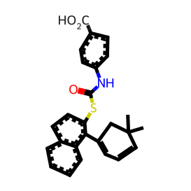 CC1(C)C=CC=C(c2c(SC(=O)Nc3ccc(C(=O)O)cc3)ccc3ccccc23)C1